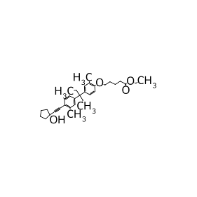 CCOC(=O)CCCCOc1ccc(C(CC)(CC)c2ccc(C#CC3(O)CCCC3)c(C)c2)cc1C